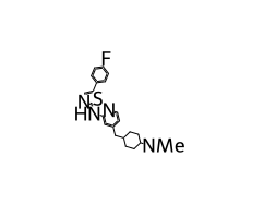 CNC1CCC(Cc2ccnc(Nc3ncc(-c4ccc(F)cc4)s3)c2)CC1